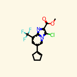 COC(=O)c1nc2c(C(F)(F)F)cc(C3=CCCC3)cn2c1Cl